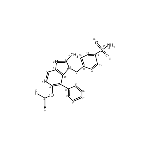 Cc1nc2cnc(OC(F)F)c(-c3ccccc3)c2n1Cc1ccc(S(N)(=O)=O)cc1